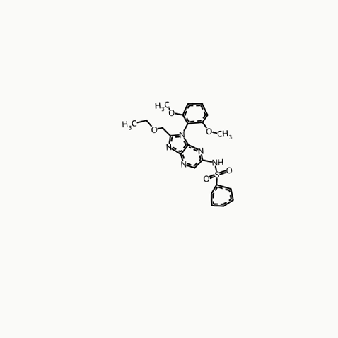 CCOCc1nc2ncc(NS(=O)(=O)c3ccccc3)nc2n1-c1c(OC)cccc1OC